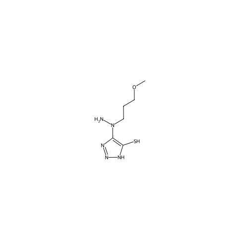 COCCCN(N)c1nn[nH]c1S